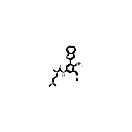 C=C=Cc1cc(NC(=O)N(C)CCN(C)C)cc(-c2cc3ccccc3s2)c1N